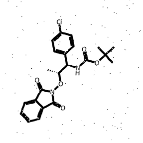 C[C@@H](ON1C(=O)c2ccccc2C1=O)[C@H](NC(=O)OC(C)(C)C)c1ccc(Cl)cc1